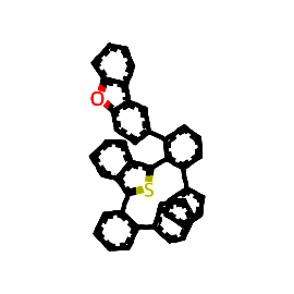 c1ccc(-c2ccccc2-c2sc(-c3c(-c4ccccc4)cccc3-c3ccc4oc5ccccc5c4c3)c3ccccc23)cc1